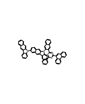 c1ccc(-c2nc(-c3cc4ccccc4cc3-n3c4ccccc4c4cc5cc(-n6c7ccccc7c7cc8ccccc8cc76)ccc5cc43)nc(-c3cc4ccccc4c4ccccc34)n2)cc1